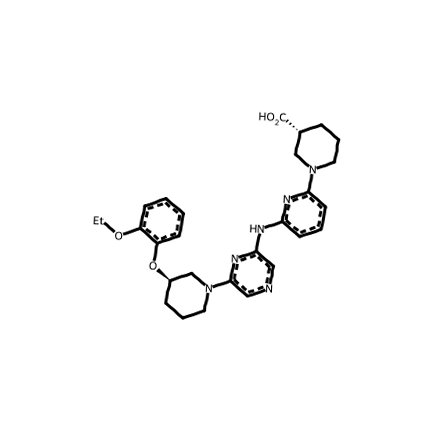 CCOc1ccccc1O[C@@H]1CCCN(c2cncc(Nc3cccc(N4CCC[C@@H](C(=O)O)C4)n3)n2)C1